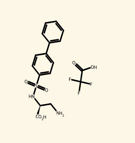 NC[C@H](NS(=O)(=O)c1ccc(-c2ccccc2)cc1)C(=O)O.O=C(O)C(F)(F)F